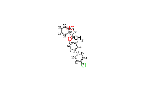 CC(CO)(Oc1ccc(-c2ccc(Cl)cc2)cc1)c1ccccc1